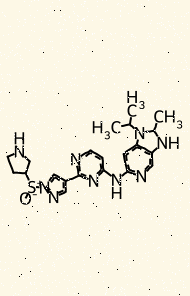 CC(C)N1c2cc(Nc3ccnc(-c4cnn([S+]([O-])C5CCNC5)c4)n3)ncc2NC1C